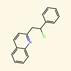 ClC(Cc1ccc2ccccc2n1)c1ccccc1